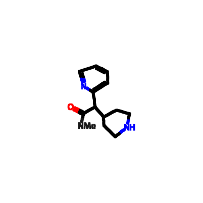 CNC(=O)C(c1ccccn1)C1CCNCC1